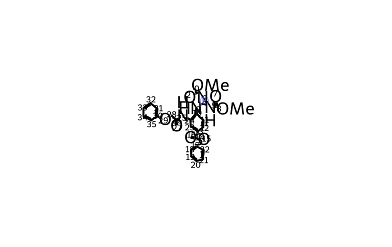 COC(=O)/N=C(/NC(=O)OC)Nc1ccc(S(=O)(=O)c2ccccc2)cc1NC(=O)COc1ccccc1